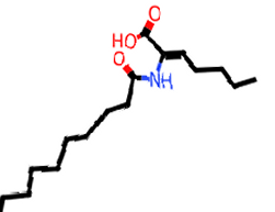 CCCCC=C(NC(=O)CCCCCCCCC)C(=O)O